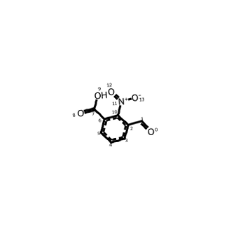 O=Cc1cccc(C(=O)O)c1[N+](=O)[O-]